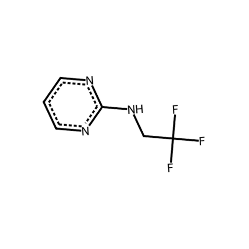 FC(F)(F)CNc1ncccn1